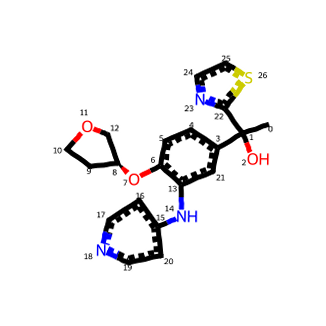 CC(O)(c1ccc(O[C@H]2CCOC2)c(Nc2ccncc2)c1)c1nccs1